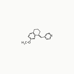 COc1ccc2c(c1)C(=Cc1ccncc1)CCC2